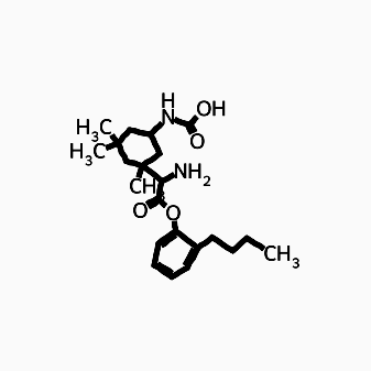 CCCCc1ccccc1OC(=O)C(N)C1(C)CC(NC(=O)O)CC(C)(C)C1